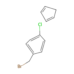 C1=CCC=C1.Clc1ccc(CBr)cc1